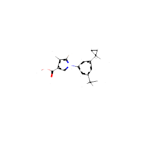 COC(=O)c1cn(-c2cc(C(C)(C)C)cc(C3(C)CC3)c2)c(Br)c1C